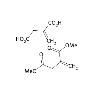 C=C(CC(=O)O)C(=O)O.C=C(CC(=O)OC)C(=O)OC